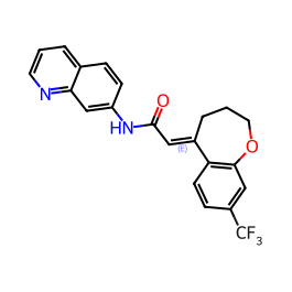 O=C(/C=C1\CCCOc2cc(C(F)(F)F)ccc21)Nc1ccc2cccnc2c1